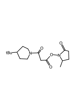 CC1CCC(=O)N1OC(=O)CC(=O)N1CCC(C(C)(C)C)CC1